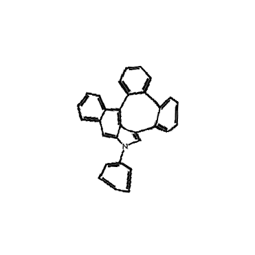 c1ccc(-n2cc3c4c(c5ccccc5cc42)-c2ccccc2-c2ccccc2-3)cc1